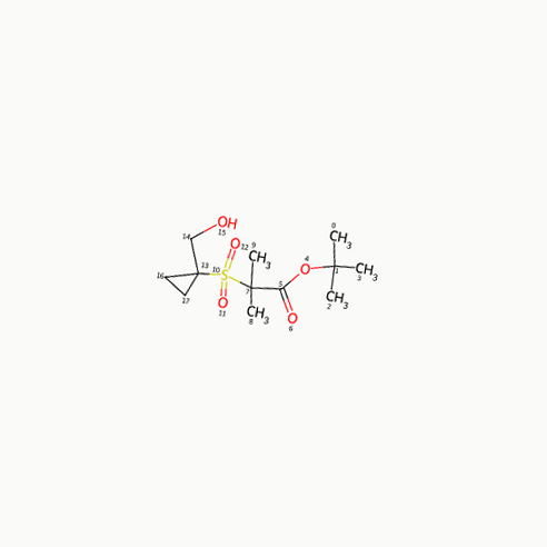 CC(C)(C)OC(=O)C(C)(C)S(=O)(=O)C1(CO)CC1